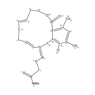 CNC(=O)CO/N=C1\C=C\CC/C=C/CCOC(=O)c2c(C)cc(C)c(Cl)c2C1